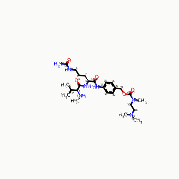 CN[C@H](C(=O)N[C@@H](CCCNC(N)=O)C(=O)Nc1ccc(COC(=O)N(C)CCN(C)C)cc1)C(C)C